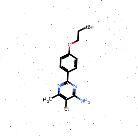 CCc1c(C)nc(-c2ccc(OCCC(C)(C)C)cc2)nc1N